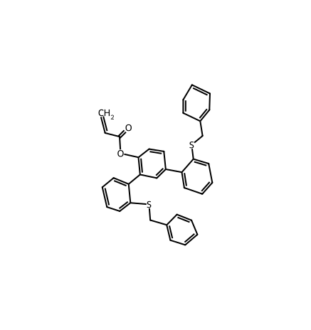 C=CC(=O)Oc1ccc(-c2ccccc2SCc2ccccc2)cc1-c1ccccc1SCc1ccccc1